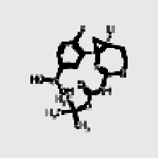 CC(C)(C)OC(=O)NC1=N[C@@]2(c3cc(N(O)O)ccc3F)C[C@H]2CCS1